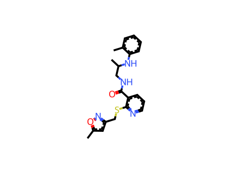 Cc1cc(CSc2ncccc2C(=O)NCC(C)Nc2ccccc2C)no1